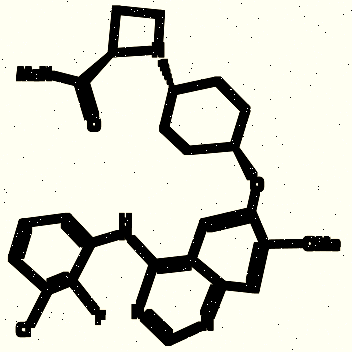 CNC(=O)[C@H]1CCN1[C@H]1CC[C@H](Oc2cc3c(Nc4cccc(Cl)c4F)ncnc3cc2OC)CC1